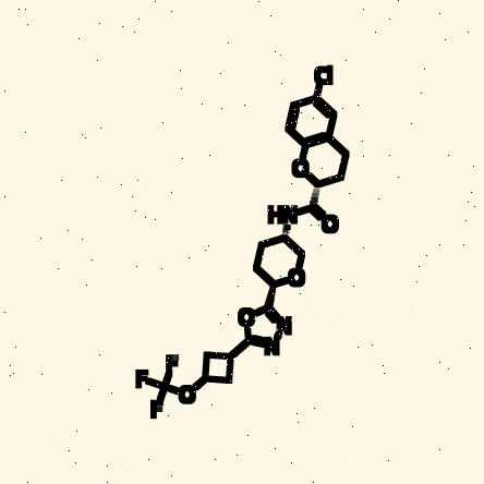 O=C(N[C@H]1CC[C@H](c2nnc(C3CC(OC(F)(F)F)C3)o2)OC1)[C@H]1CCc2cc(Cl)ccc2O1